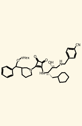 CCCCCCOC(c1ccccc1)C1CCCN(c2c(N[C@@H](CC3CCCCC3)[C@H](O)CNCc3ccc(C#N)cc3)c(=O)c2=O)C1